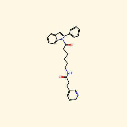 O=C(CCc1cccnc1)NCCCCCC(=O)n1c(-c2ccccc2)cc2ccccc21